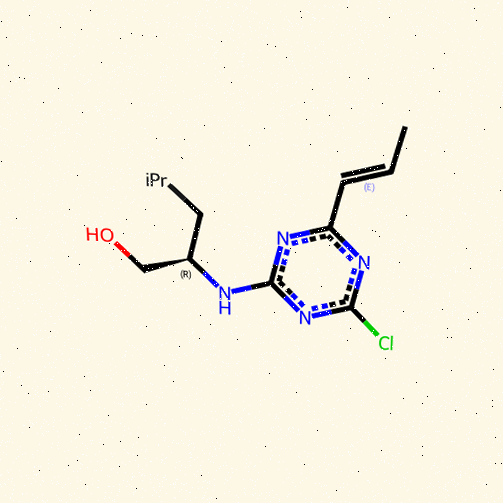 C/C=C/c1nc(Cl)nc(N[C@@H](CO)CC(C)C)n1